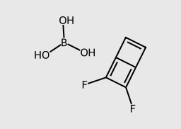 Fc1c2ccc-2c1F.OB(O)O